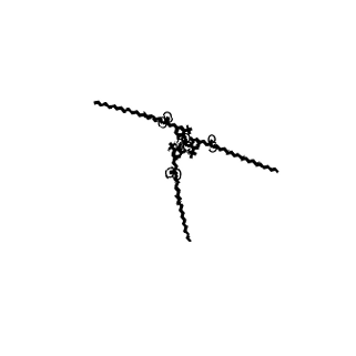 CCCCCCCCCCCCCCCCCCOC(=O)CCc1cc(C)c(OP(Oc2c(C)cc(CCC(=O)OCCCCCCCCCCCCCCCCCC)cc2C(C)(C)C)Oc2c(C)cc(CCC(=O)OCCCCCCCCCCCCCCCCCC)cc2C(C)(C)C)c(C(C)(C)C)c1